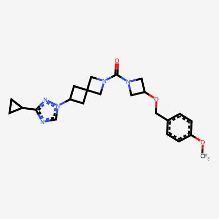 O=C(N1CC(OCc2ccc(OC(F)(F)F)cc2)C1)N1CC2(CC(n3cnc(C4CC4)n3)C2)C1